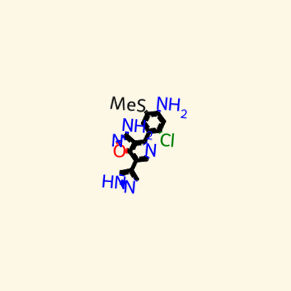 CSc1cc(-c2ncc(-c3cn[nH]c3)c3onc(N)c23)c(Cl)cc1N